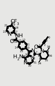 CC#CC(=O)N1[C@H](c2nc(-c3ccc(C(=O)Nc4cc(C(F)(F)F)ccn4)cc3)c3c(N)nccn23)[C@H](C)CC[C@@H]1C